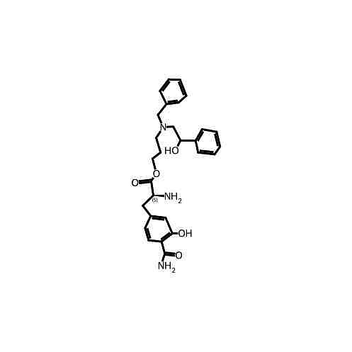 NC(=O)c1ccc(C[C@H](N)C(=O)OCCCN(Cc2ccccc2)CC(O)c2ccccc2)cc1O